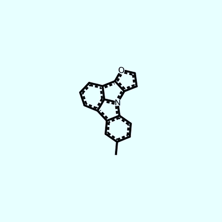 Cc1ccc2c(c1)c1cccc3c4occc4n2c13